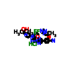 C[C@@H](Cn1cncn1)Oc1cc(-c2cnc(Nc3cn(C4CCN(CC(C)(C)O)CC4)nc3OCC(F)(F)F)nc2)ccc1C#N.Cl